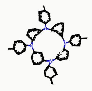 Cc1ccc(N2c3cccc(c3)N(C3=CCC(C)C=C3)c3cccc(c3)N(c3ccc(C)cc3)c3cccc(c3)N(c3ccc(C)cc3)c3cccc2c3)cc1